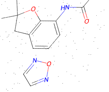 COC(=O)Nc1cccc2c1OC(C)(C)C2.c1cnon1